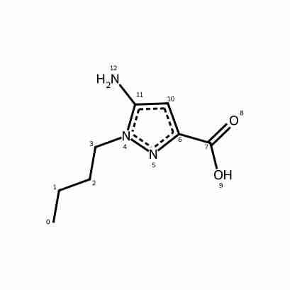 CCCCn1nc(C(=O)O)cc1N